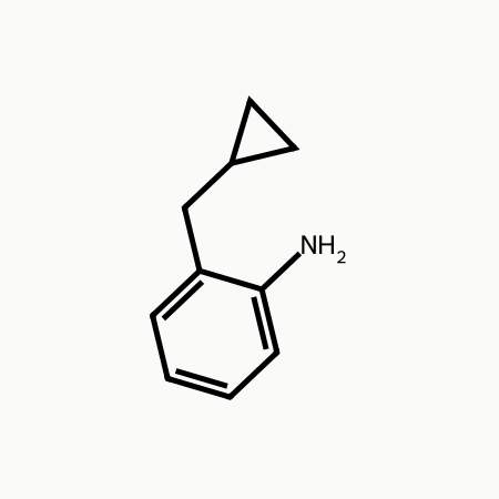 Nc1ccccc1CC1CC1